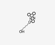 OCCCCCCCCOc1cccc2nc3c4ccccc4c4ccccc4c3nc12